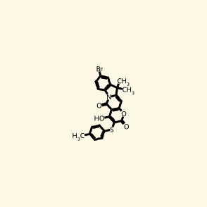 Cc1ccc(Sc2c(O)c3c(=O)n4c(cc3oc2=O)C(C)(C)c2cc(Br)ccc2-4)cc1